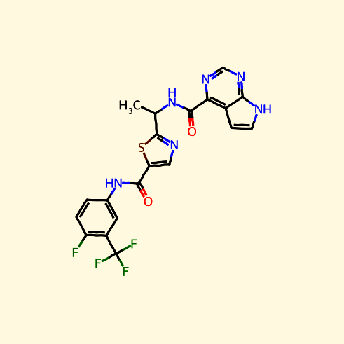 CC(NC(=O)c1ncnc2[nH]ccc12)c1ncc(C(=O)Nc2ccc(F)c(C(F)(F)F)c2)s1